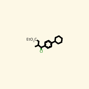 CCOC(=O)CC(C)C(Cl)c1ccc(C2CCCCC2)cc1